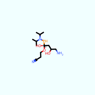 CC(C)N(P[C@](O)(CC(O)CN)OCCC#N)C(C)C